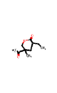 CCC1CC(C)(C(C)=O)COC1=O